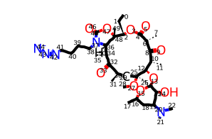 CC[C@H]1OC(=O)[C@H](C)C(=O)[C@H](C)[C@@H](OC2OC(C)CC(N(C)C)C2O)[C@@](C)(OC)C[C@@H](C)C(=O)[C@H](C)[C@H]2N(CCCCN=[N+]=[N-])C(=O)O[C@]12C